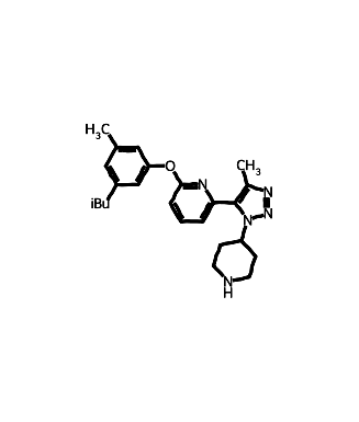 CCC(C)c1cc(C)cc(Oc2cccc(-c3c(C)nnn3C3CCNCC3)n2)c1